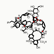 CC(C)C[C@H](N)C(=O)N[C@H]1C(=O)N[C@@H](CC(N)=O)C(=O)N[C@H]2C(=O)NC3C(=O)N[C@H](C(=O)N[C@H](C(=O)O)c4cc(O)cc(O)c4-c4cc3ccc4O)[C@H](O)c3ccc(c(Cl)c3)Oc3cc2cc(c3OC2O[C@H](CO)[C@@H](O)[C@H](O)C2O[C@H]2C[C@](C)(NCc3ccc(-c4ccc(Cl)cc4)cc3)[C@H](O)[C@H](C)O2)Oc2ccc(cc2Cl)[C@H]1O